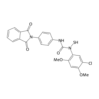 COc1cc(OC)c(N(S)C(=O)Nc2ccc(N3C(=O)c4ccccc4C3=O)cc2)cc1Cl